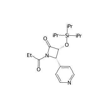 CCC(=O)N1C(=O)[C@H](O[Si](C(C)C)(C(C)C)C(C)C)[C@@H]1c1ccncc1